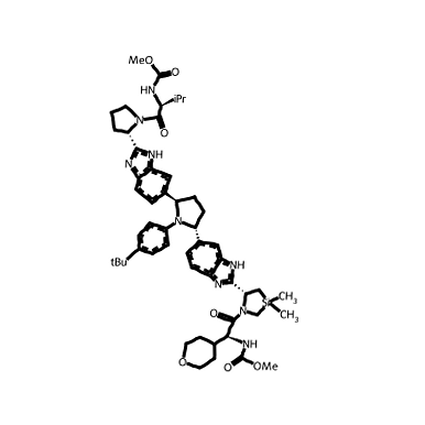 COC(=O)N[C@H](C(=O)N1CCC[C@H]1c1nc2ccc([C@H]3CC[C@H](c4ccc5nc([C@@H]6C[Si](C)(C)CN6C(=O)[C@@H](NC(=O)OC)C6CCOCC6)[nH]c5c4)N3c3ccc(C(C)(C)C)cc3)cc2[nH]1)C(C)C